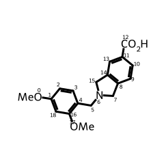 COc1ccc(CN2Cc3ccc(C(=O)O)cc3C2)c(OC)c1